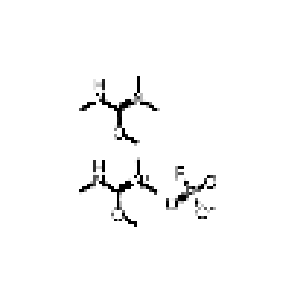 CNC(OC)=[N+](C)C.CNC(OC)=[N+](C)C.O=P([O-])([O-])F